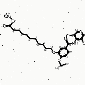 CC(C)(C)OC(=O)CCCCCCCCCCOc1cc(C(=O)Nc2c(Cl)cncc2Cl)ccc1OC(F)F